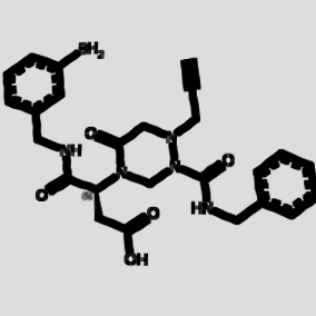 Bc1cccc(CNC(=O)[C@H](CC(=O)O)N2CN(C(=O)NCc3ccccc3)N(CC#C)CC2=O)c1